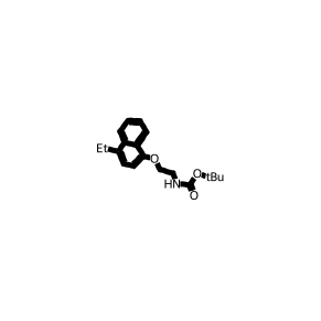 CCc1ccc(OCCNC(=O)OC(C)(C)C)c2ccccc12